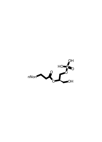 CCCCCCCCCCCC(=O)O[C@H](CO)COP(=O)(O)O